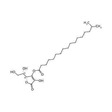 CC(C)CCCCCCCCCCCCCCC(=O)OC1=C(O)C(=O)O[C@@H]1[C@@H](O)CO